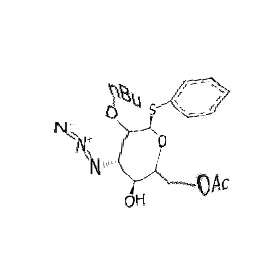 CCCCOC1[C@@H](Sc2ccccc2)OC(COC(C)=O)[C@@H](O)[C@@H]1N=[N+]=[N-]